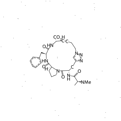 CN[C@@H](C)C(=O)N[C@H]1Cc2cn(nn2)CCCC[C@@H](C(=O)O)NC(=O)[C@H](Cc2ccccc2)NC(=O)[C@@H]2CCCN2C1=O